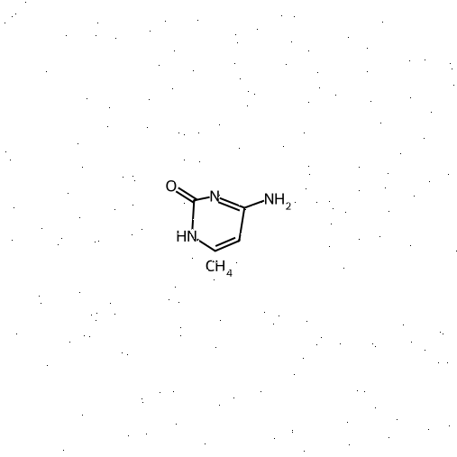 C.Nc1cc[nH]c(=O)n1